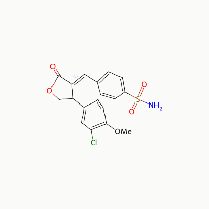 COc1ccc(C2COC(=O)/C2=C/c2ccc(S(N)(=O)=O)cc2)cc1Cl